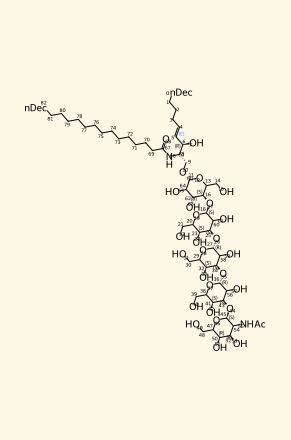 CCCCCCCCCCCCC/C=C/[C@@H](O)[C@H](CO[C@@H]1OC(CO)[C@@H](O[C@@H]2OC(CO)[C@H](O)[C@H](O[C@H]3OC(CO)[C@H](O)[C@H](O[C@H]4OC(CO)[C@H](O)[C@H](O[C@@H]5OC(CO)[C@H](O)[C@H](O)C5NC(C)=O)C4O)C3O)C2O)[C@H](O)C1O)NC(=O)CCCCCCCCCCCCCCCCCCCCCCC